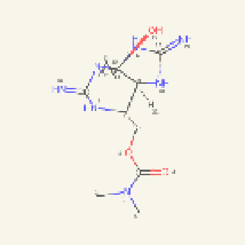 CN(C)C(=O)OC[C@@H]1NC(=N)N2CC[C@H](O)[C@@]23NC(=N)N[C@@H]13